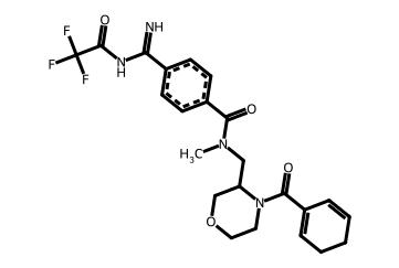 CN(CC1COCCN1C(=O)C1=CCCC=C1)C(=O)c1ccc(C(=N)NC(=O)C(F)(F)F)cc1